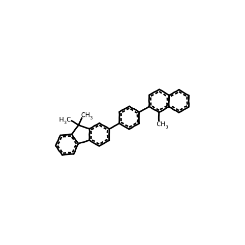 Cc1c(-c2ccc(-c3ccc4c(c3)C(C)(C)c3ccccc3-4)cc2)ccc2ccccc12